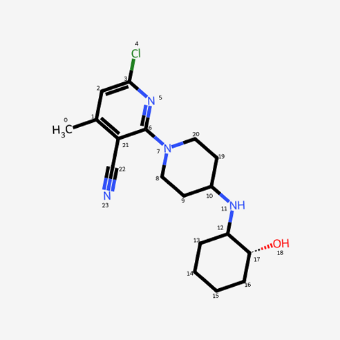 Cc1cc(Cl)nc(N2CCC(NC3CCCC[C@H]3O)CC2)c1C#N